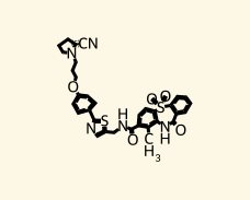 Cc1c(C(=O)NCc2cnc(-c3ccc(OCCCN4CCC[C@H]4C#N)cc3)s2)ccc2c1NC(=O)c1ccccc1S2(=O)=O